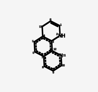 C1=CNc2c(ccc3cccnc23)C1